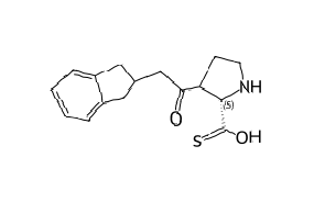 O=C(CC1Cc2ccccc2C1)C1CCN[C@@H]1C(O)=S